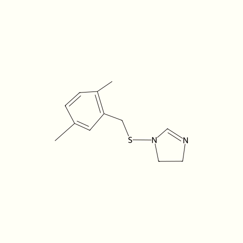 Cc1ccc(C)c(CSN2C=NCC2)c1